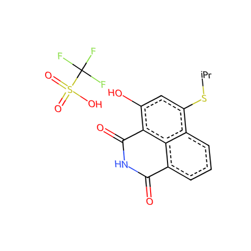 CC(C)Sc1cc(O)c2c3c(cccc13)C(=O)NC2=O.O=S(=O)(O)C(F)(F)F